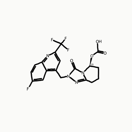 O=C(O)O[C@H]1CCCc2nn(Cc3cc(C(F)(F)F)nc4ccc(F)cc34)c(=O)n21